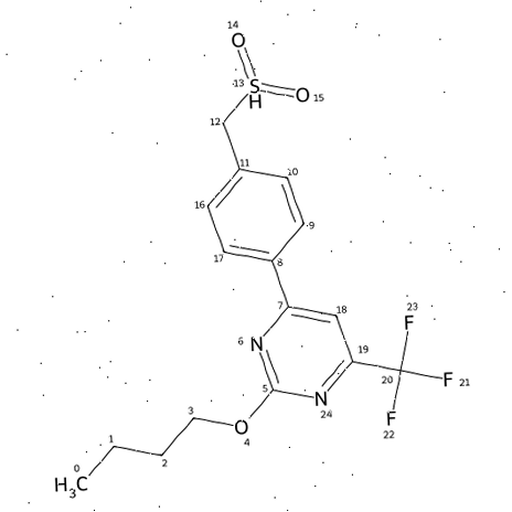 CCCCOc1nc(-c2ccc(C[SH](=O)=O)cc2)cc(C(F)(F)F)n1